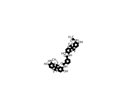 CNc1cc(C(c2ccc(O)c(NC(=O)c3cccc(C(=O)Nc4cc(C(c5ccc(O)c(NC(C)=O)c5)(C(F)(F)F)C(F)(F)F)ccc4O)c3)c2)(C(F)(F)F)C(F)(F)F)ccc1O